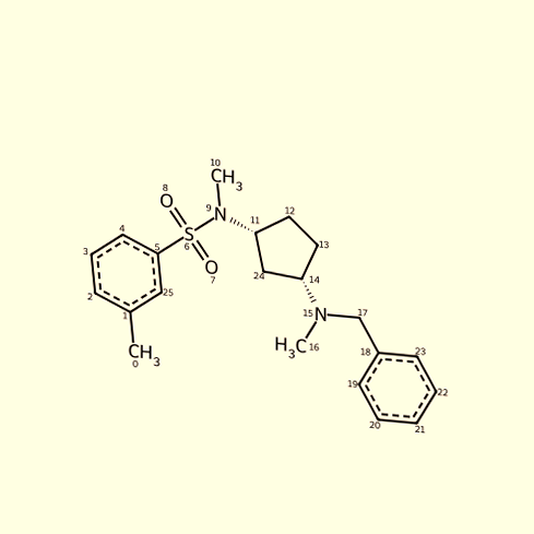 Cc1cccc(S(=O)(=O)N(C)[C@@H]2CC[C@H](N(C)Cc3ccccc3)C2)c1